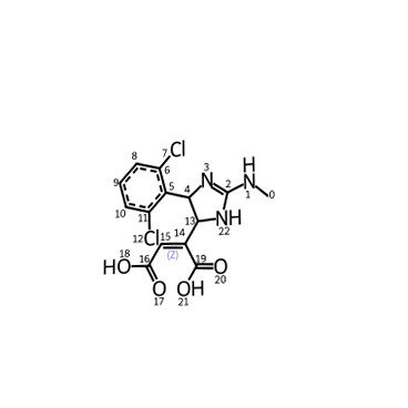 CNC1=NC(c2c(Cl)cccc2Cl)C(/C(=C/C(=O)O)C(=O)O)N1